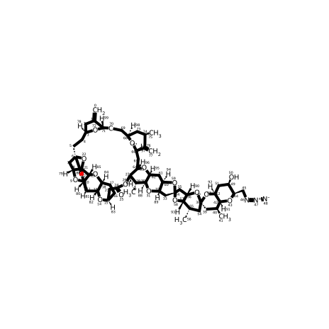 C=C1C[C@@H]2CC[C@@]34C[C@H]5O[C@H]6[C@@H](O3)[C@H]3O[C@H](CC[C@@H]3O[C@H]6[C@H]5O4)CC(=O)O[C@@H]3[C@@H](C)[C@@H]4O[C@@H]5C[C@]6(C[C@@H]7O[C@]8(C[C@H](C)[C@@H]9O[C@H](CN=[N+]=[N-])[C@H](O)C[C@@H]9O8)C[C@H](C)[C@@H]7O6)O[C@@H]5C[C@@H]4O[C@H]3C[C@H]3O[C@@H](CC[C@@H]1O2)C[C@@H](C)C3=C